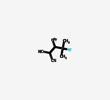 CCCC(C(C#N)C#N)[Si](C)(C)F